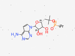 CC(C)[PH](=O)OC(C)(C)C[C@H]1OC(n2ccc3c(N)ncnc32)[C@H](O)C1O